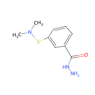 CN(C)Sc1cccc(C(=O)NN)c1